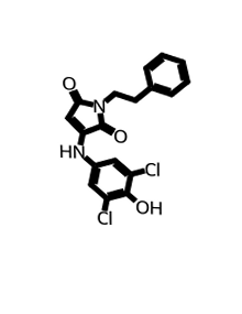 O=C1C=C(Nc2cc(Cl)c(O)c(Cl)c2)C(=O)N1CCc1ccccc1